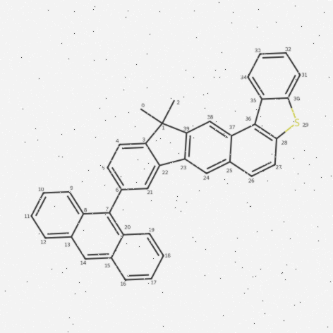 CC1(C)c2ccc(-c3c4ccccc4cc4ccccc34)cc2-c2cc3ccc4sc5ccccc5c4c3cc21